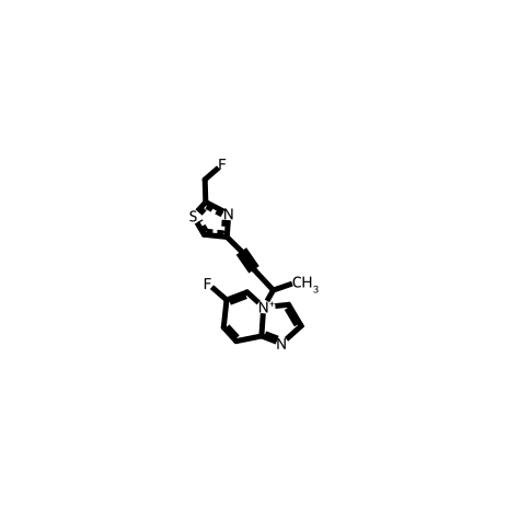 CC(C#Cc1csc(CF)n1)[N+]12C=CN=C1C=CC(F)=C2